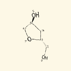 OC[C@H]1C[C@H](O)[CH]O1